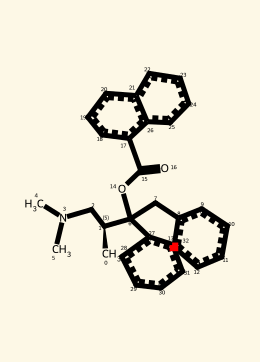 C[C@@H](CN(C)C)C(Cc1ccccc1)(OC(=O)c1cccc2ccccc12)c1ccccc1